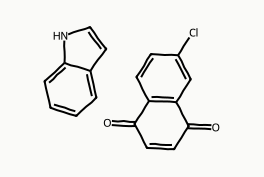 O=C1C=CC(=O)c2cc(Cl)ccc21.c1ccc2[nH]ccc2c1